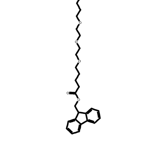 NCCCOCCOCCOCCCCC(=O)OCC1c2ccccc2-c2ccccc21